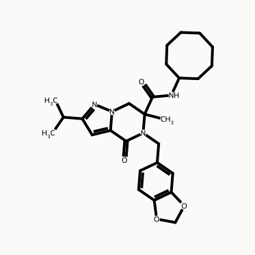 CC(C)c1cc2n(n1)CC(C)(C(=O)NC1CCCCCCC1)N(Cc1ccc3c(c1)OCO3)C2=O